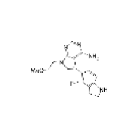 COCCn1cc(-c2ccc3c(c2F)CCN3)c2c(N)ncnc21